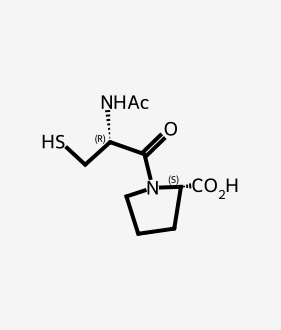 CC(=O)N[C@@H](CS)C(=O)N1CCC[C@H]1C(=O)O